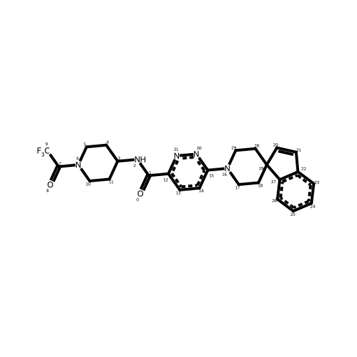 O=C(NC1CCN(C(=O)C(F)(F)F)CC1)c1ccc(N2CCC3(C=Cc4ccccc43)CC2)nn1